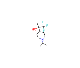 CC(C)N1CCC([C@](C)(O)C(F)(F)F)CC1